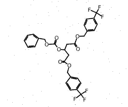 O=C(CC(CC(=O)OCc1ccc(C(F)(F)F)cc1)OC(=O)OCc1ccccc1)OCc1ccc(C(F)(F)F)cc1